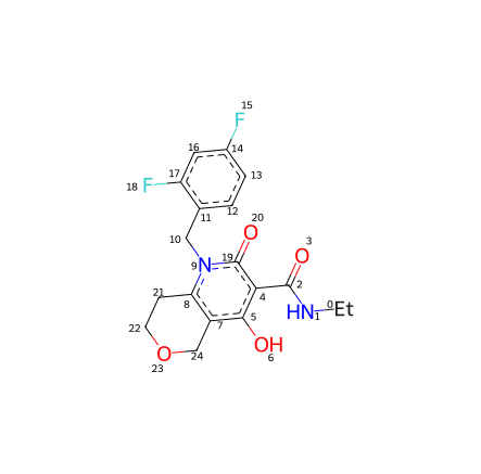 CCNC(=O)c1c(O)c2c(n(Cc3ccc(F)cc3F)c1=O)CCOC2